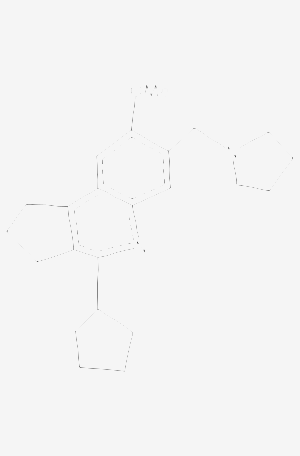 COc1cc2c3c(c(C4CCCC4)nc2cc1CN1CCCC1)CCC3